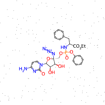 CCOC(=O)C(Cc1ccccc1)NP(=O)(OC[C@@]1(N=[N+]=[N-])OC(n2ccc(N)nc2=O)[C@H](O)[C@@H]1O)Oc1ccccc1